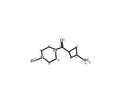 CC(C)N1CCN(C(=O)C2CC(N)C2)CC1